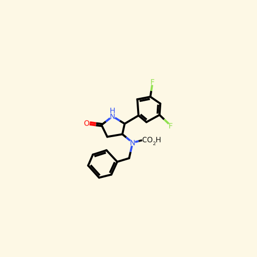 O=C1CC(N(Cc2ccccc2)C(=O)O)C(c2cc(F)cc(F)c2)N1